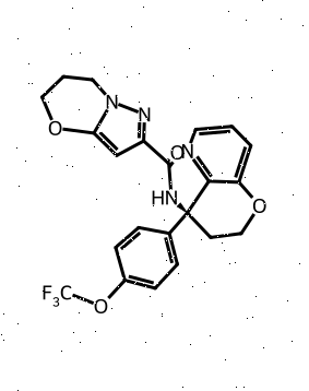 O=C(N[C@]1(c2ccc(OC(F)(F)F)cc2)CCOc2cccnc21)c1cc2n(n1)CCCO2